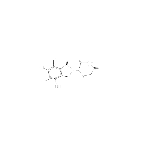 [2H]c1c([2H])c(N)c2c(c1[2H])C(=O)N(C1CCC(=O)NC1=O)C2